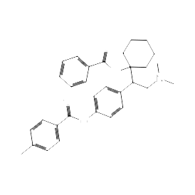 Cc1ccc(C(=O)Oc2ccc(C(CN(C)C)C3(OC(=O)c4ccccc4)CCCCC3)cc2)cc1